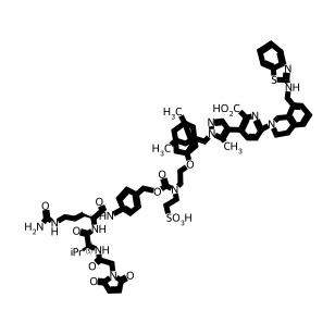 Cc1c(-c2ccc(N3CCc4cccc(CNc5nc6ccccc6s5)c4C3)nc2C(=O)O)cnn1CC12CC3(C)CC(C)(C1)CC(OCCN(CCS(=O)(=O)O)C(=O)OCc1ccc(NC(=O)[C@H](CCCNC(N)=O)NC(=O)[C@@H](NC(=O)CN4C(=O)C=CC4=O)C(C)C)cc1)(C3)C2